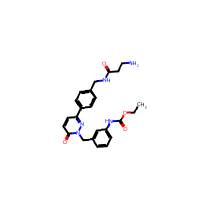 CCOC(=O)Nc1cccc(Cn2nc(-c3ccc(CNC(=O)CCN)cc3)ccc2=O)c1